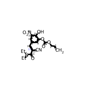 C=CCOC(=O)Oc1cc(/C=C(\C#N)C(=O)N(CC)CC)cc([N+](=O)[O-])c1O